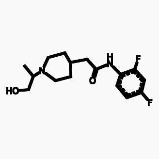 CC(CO)N1CCC(CC(=O)Nc2ccc(F)cc2F)CC1